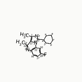 Cc1nc(C2CCCCC2)n2c1c(C)nc1ccc(F)cc12